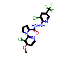 COc1ccnc(-n2cccc2C(=O)NNc2ncc(C(F)(F)F)cc2Cl)c1Cl